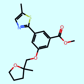 COC(=O)c1cc(OCC2(C)CCCO2)cc(-c2ncc(C)s2)c1